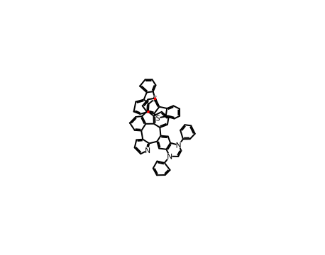 c1ccc(-n2ccn(-c3ccccc3)c3cc4c(cc32)c2cccc(-c3cccc5c3sc3ccccc35)c2c2c(-c3cccc5c3sc3ccccc35)cccc2c2cccnc42)cc1